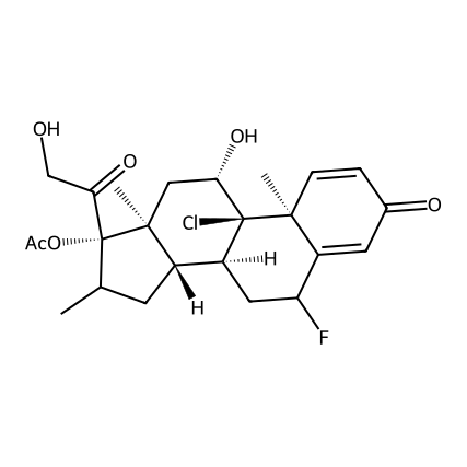 CC(=O)O[C@@]1(C(=O)CO)C(C)C[C@H]2[C@@H]3CC(F)C4=CC(=O)C=C[C@]4(C)[C@@]3(Cl)[C@@H](O)C[C@@]21C